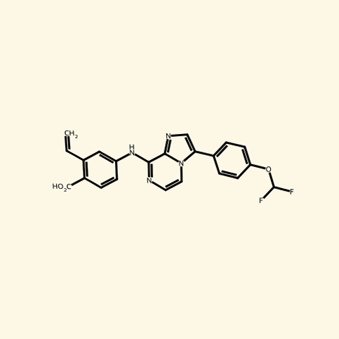 C=Cc1cc(Nc2nccn3c(-c4ccc(OC(F)F)cc4)cnc23)ccc1C(=O)O